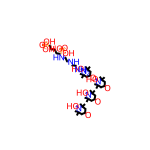 CC1(C)CC(=O)CC(C)(C)N1O.CC1(C)CC(=O)CC(C)(C)N1O.CC1(C)CC(=O)CC(C)(C)N1O.CC1(C)CC(=O)CC(C)(C)N1O.NCCNCCNC(CCCCP(=O)(O)O)P(=O)(O)O